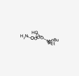 CCCCC1=CN(CCCCOCC2CC(O)CC(Oc3ccc(CCN)cc3)O2)N(C)C1CC